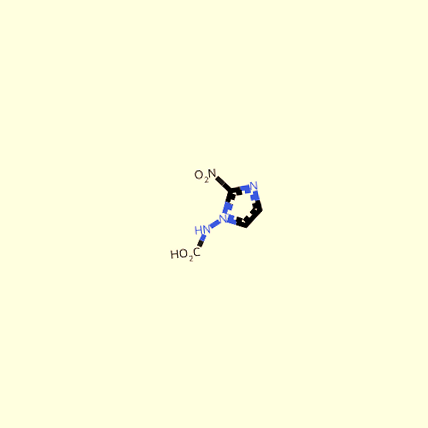 O=C(O)Nn1ccnc1[N+](=O)[O-]